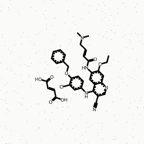 CCOc1cc2ncc(C#N)c(Nc3ccc(OCc4ccccc4)c(Cl)c3)c2cc1NC(=O)C=CCN(C)C.O=C(O)C=CC(=O)O